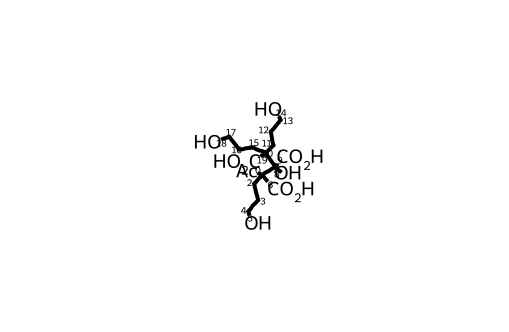 CC(=O)C(CCCO)(C(=O)O)C(O)(C(=O)O)C(CCCO)(CCCO)C(=O)O